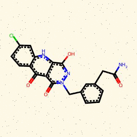 NC(=O)Cc1cccc(Cn2nc(O)c3[nH]c4cc(Cl)ccc4c(=O)c3c2=O)c1